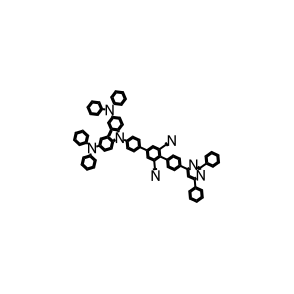 N#Cc1cc(-c2ccc(-n3c4ccc(N(c5ccccc5)c5ccccc5)cc4c4cc(N(c5ccccc5)c5ccccc5)ccc43)cc2)cc(C#N)c1-c1ccc(-c2cc(-c3ccccc3)nc(-c3ccccc3)n2)cc1